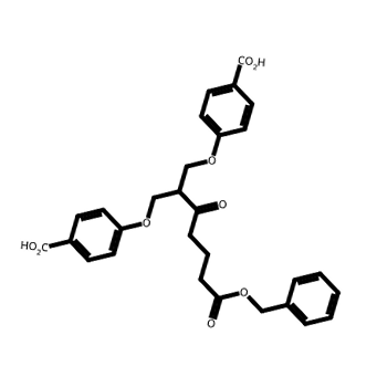 O=C(CCCC(=O)C(COc1ccc(C(=O)O)cc1)COc1ccc(C(=O)O)cc1)OCc1ccccc1